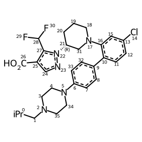 CC(C)CN1CCN(c2ccc(-c3ccc(Cl)cc3N3CCC[C@@H](n4ncc(C(=O)O)c4C(F)F)C3)cc2)CC1